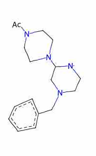 CC(=O)N1CCN(C2CN(Cc3ccccc3)CC[N]2)CC1